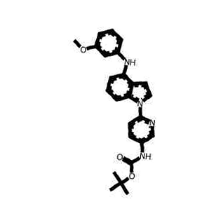 COc1cccc(Nc2cccc3c2ccn3-c2ccc(NC(=O)OC(C)(C)C)cn2)c1